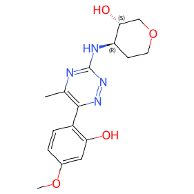 COc1ccc(-c2nnc(N[C@@H]3CCOC[C@H]3O)nc2C)c(O)c1